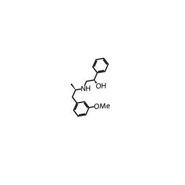 COc1cccc(C[C@@H](C)NC[C@H](O)c2ccccc2)c1